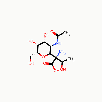 CC(=O)N[C@H]1C([C@@](N)(C(=O)O)[C@@H](C)O)O[C@H](CO)[C@H](O)[C@@H]1O